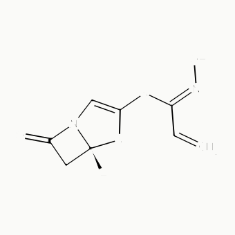 C=C/C(=N/O)SC1=CN2C(=O)C[C@H]2S1